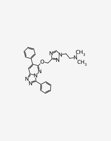 CN(C)CCn1cnc(COc2nn3c(-c4ccccc4)nnc3cc2-c2ccccc2)n1